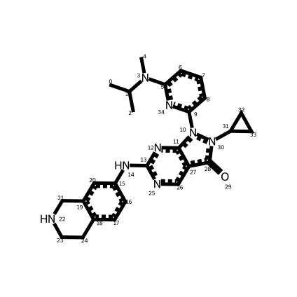 CC(C)N(C)c1cccc(-n2c3nc(Nc4ccc5c(c4)CNCC5)ncc3c(=O)n2C2CC2)n1